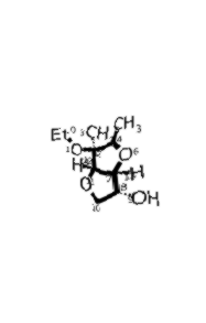 CCO[C@@]1(C)C(C)O[C@@H]2[C@H](O)CO[C@@H]21